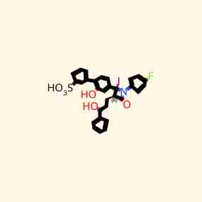 O=C1[C@@H](CC[C@H](O)c2ccccc2)[C@](I)(c2ccc(-c3cccc(S(=O)(=O)O)c3)c(O)c2)N1c1ccc(F)cc1